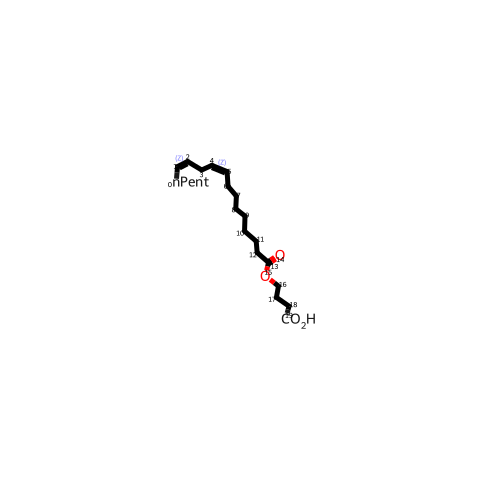 CCCCC/C=C\C/C=C\CCCCCCCC(=O)OCCCC(=O)O